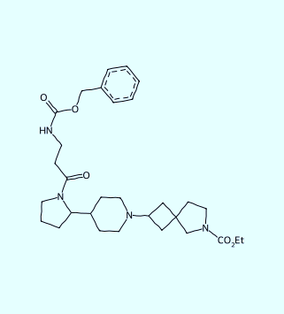 CCOC(=O)N1CCC2(CC(N3CCC(C4CCCN4C(=O)CCNC(=O)OCc4ccccc4)CC3)C2)C1